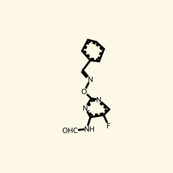 O=CNc1nc(O/N=C/c2ccccc2)ncc1F